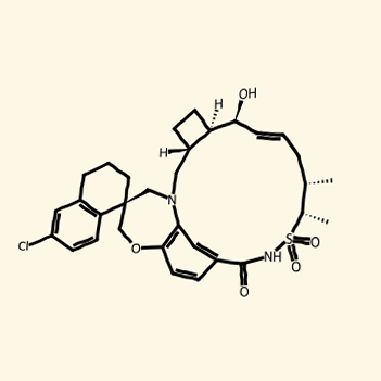 C[C@H]1C/C=C/[C@H](O)[C@@H]2CC[C@H]2CN2C[C@@]3(CCCc4cc(Cl)ccc43)COc3ccc(cc32)C(=O)NS(=O)(=O)[C@H]1C